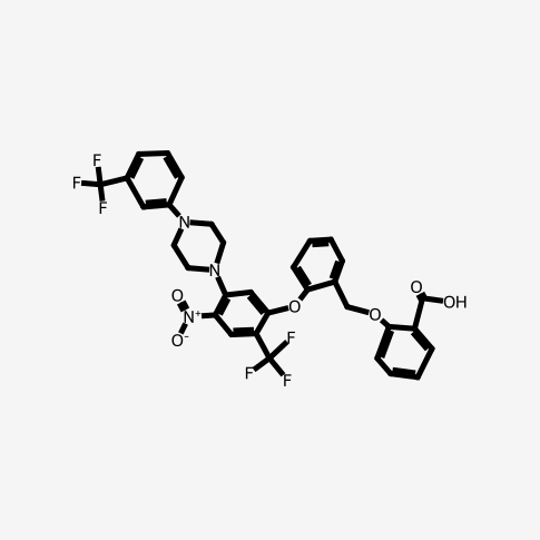 O=C(O)c1ccccc1OCc1ccccc1Oc1cc(N2CCN(c3cccc(C(F)(F)F)c3)CC2)c([N+](=O)[O-])cc1C(F)(F)F